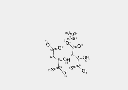 O=C([O-])CC(O)C([O-])=S.O=C([O-])CC(O)C([O-])=S.[Au+3].[Na+]